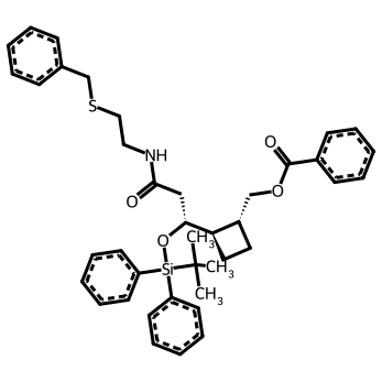 CC(C)(C)[Si](O[C@H](CC(=O)NCCSCc1ccccc1)[C@@H]1CC[C@H]1COC(=O)c1ccccc1)(c1ccccc1)c1ccccc1